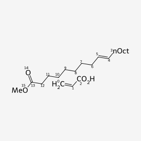 C=CC(=O)O.CCCCCCCCC=CCCCCCCCC(=O)OC